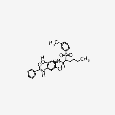 CCCCC(C(=O)Nc1cc(O)c(NC(=O)c2ccccc2)cc1Cl)S(=O)(=O)c1cccc(C)c1